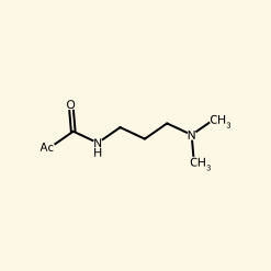 CC(=O)C(=O)NCCCN(C)C